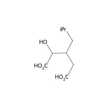 CC(C)CC(CC(=O)O)C(O)C(=O)O